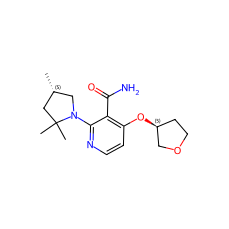 C[C@@H]1CN(c2nccc(O[C@H]3CCOC3)c2C(N)=O)C(C)(C)C1